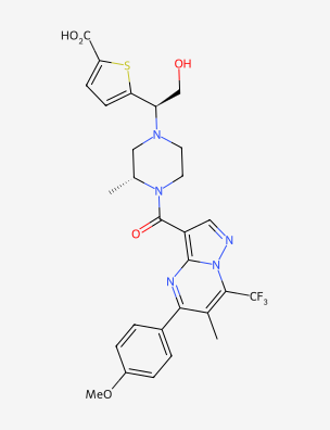 COc1ccc(-c2nc3c(C(=O)N4CCN([C@H](CO)c5ccc(C(=O)O)s5)C[C@H]4C)cnn3c(C(F)(F)F)c2C)cc1